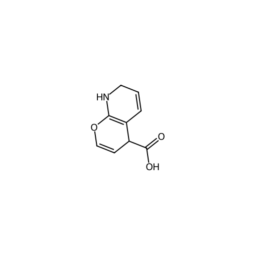 O=C(O)C1C=COC2=C1C=CCN2